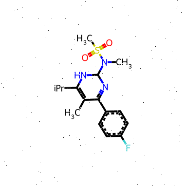 CC1=C(C(C)C)NC(N(C)S(C)(=O)=O)N=C1c1ccc(F)cc1